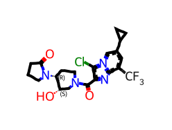 O=C(c1nc2c(C(F)(F)F)cc(C3CC3)cn2c1Cl)N1CC[C@@H](N2CCCC2=O)[C@@H](O)C1